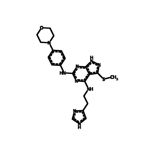 CSc1n[nH]c2nc(Nc3ccc(N4CCOCC4)cc3)nc(NCCc3c[nH]cn3)c12